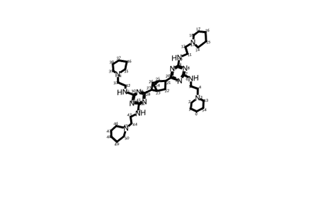 C1CCN(CCNc2nc(NCCN3CCCCC3)nc(C3CC4CC3CC4c3nc(NCCN4CCCCC4)nc(NCCN4CCCCC4)n3)n2)CC1